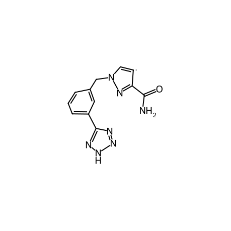 NC(=O)c1[c]cn(Cc2cccc(-c3nn[nH]n3)c2)n1